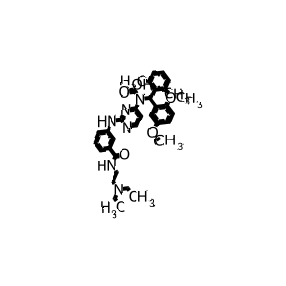 CCN(CC)CCNC(=O)c1cccc(Nc2nccc(N(C(=O)O)C(c3cc(OC)ccc3OC)c3c(C)cccc3C)n2)c1